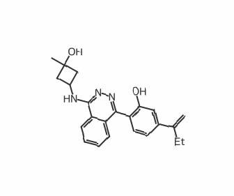 C=C(CC)c1ccc(-c2nnc(NC3CC(C)(O)C3)c3ccccc23)c(O)c1